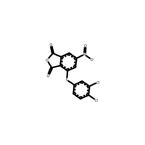 O=C1OC(=O)c2c(Sc3ccc(Cl)c(Cl)c3)cc([N+](=O)[O-])cc21